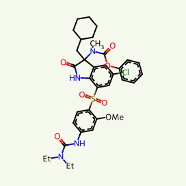 CCN(CC)C(=O)Nc1ccc(S(=O)(=O)c2cc(Cl)cc3c2NC(=O)C3(CC2CCCCC2)N(C)C(=O)Oc2ccccc2)c(OC)c1